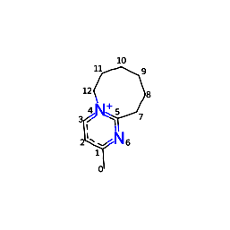 Cc1cc[n+]2c(n1)CCCCCC2